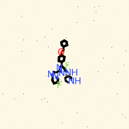 Fc1ccc2ncc(-c3nc(N[C@@H]4CCCNC4)c(F)c(-c4ccc(OCc5ccccc5)cc4)n3)n2c1